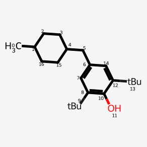 CC1CCC(Cc2cc(C(C)(C)C)c(O)c(C(C)(C)C)c2)CC1